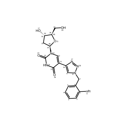 CCCc1ccccc1Cn1cc(-c2cn([C@H]3C[C@H](O)[C@@H](CO)O3)c(=O)[nH]c2=O)nn1